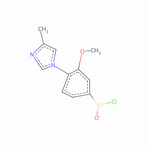 COc1cc([S+]([O-])Cl)ccc1-n1cnc(C)c1